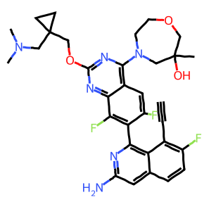 C#Cc1c(F)ccc2cc(N)nc(-c3c(F)cc4c(N5CCOCC(C)(O)C5)nc(OCC5(CN(C)C)CC5)nc4c3F)c12